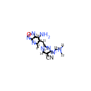 Cc1nc2nonc2c(N)c1Cc1ncc(C#N)c(/N=C/N(C)C)n1